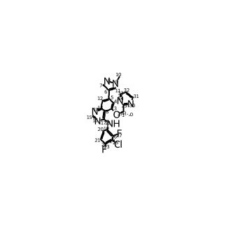 C[C@H](Oc1cc(-c2cnn(C)c2)cc2ncnc(Nc3ccc(F)c(Cl)c3F)c12)c1ncccn1